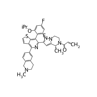 C=CC(=O)N1CCn2nc(-c3nc(-c4ccc5c(c4)CCN(C)C5)c4ccsc4c3-c3c(F)cc(F)cc3OC(C)C)cc2[C@@H]1C